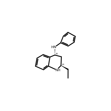 CC[C@@H]1C[C@@H](Nc2ccccc2)c2ccccc2N1